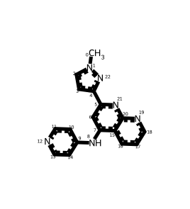 Cn1ccc(-c2cc(Nc3ccncc3)c3cccnc3n2)n1